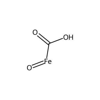 [O]=[Fe][C](=O)O